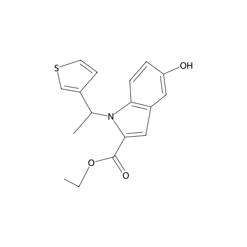 CCOC(=O)c1cc2cc(O)ccc2n1C(C)c1ccsc1